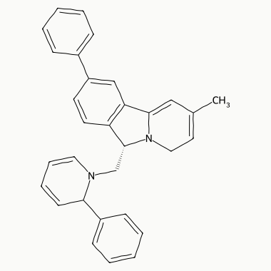 CC1=CCN2C(=C1)c1cc(-c3ccccc3)ccc1[C@H]2CN1C=CC=CC1c1ccccc1